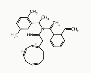 C=CC1C=CC=CC1C(=C)N(C(=N)C/C1=C/C=C\CC=CCC1)C(C)c1cc(C)ccc1C